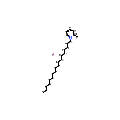 CCCCCCCCCCCCCCCCCC[n+]1ccccc1C.[I-]